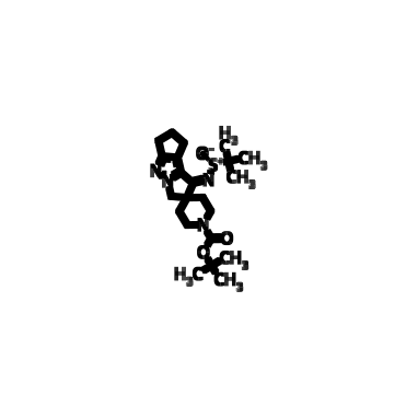 CC(C)(C)OC(=O)N1CCC2(CC1)Cn1nc3c(c1/C2=N\[S@@+]([O-])C(C)(C)C)CCC3